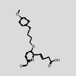 COc1ccc(CCCCOc2ccc(C=O)nc2C=CCC(=O)O)cc1